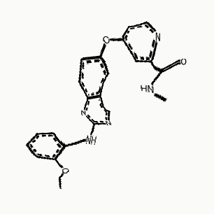 CNC(=O)c1cc(Oc2ccc3nc(Nc4ccccc4OC)ncc3c2)ccn1